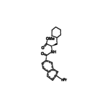 CCCc1ccc2ccc(C(=O)N[C@H](CC3CCCCC3)C(=O)OC)cc2c1